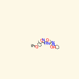 CC1=C(c2onc(C(=O)NC3=C(C)N(C)N(C4CCCCC4)C3O)c2C)CCC(OC(C)C)C1